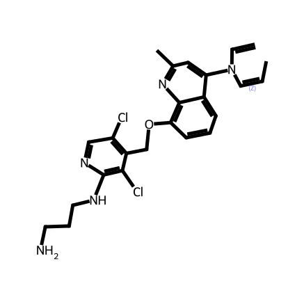 C=CN(/C=C\C)c1cc(C)nc2c(OCc3c(Cl)cnc(NCCCN)c3Cl)cccc12